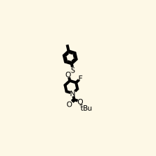 Cc1ccc(SOC2CCN(C(=O)OC(C)(C)C)CC2F)cc1